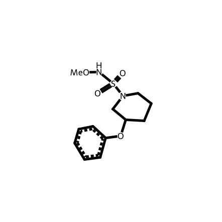 CONS(=O)(=O)N1CCCC(Oc2ccccc2)C1